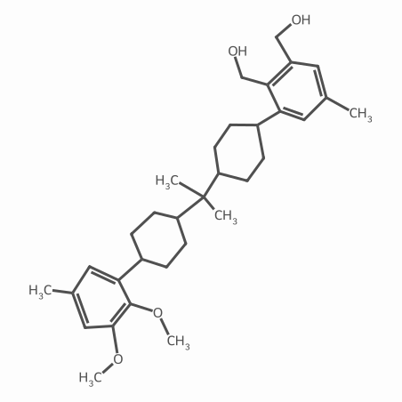 COc1cc(C)cc(C2CCC(C(C)(C)C3CCC(c4cc(C)cc(CO)c4CO)CC3)CC2)c1OC